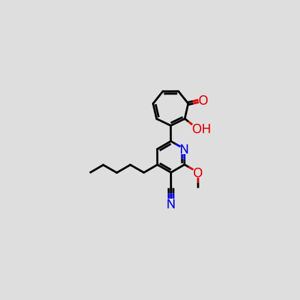 CCCCCc1cc(-c2ccccc(=O)c2O)nc(OC)c1C#N